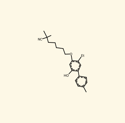 CCc1cc(-c2ccc(C)cc2)c(O)cc1OCCCCCC(C)(C)C#N